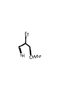 CCC(C=N)COC